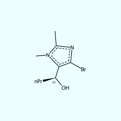 CCC[C@H](O)c1c(Br)nc(C)n1C